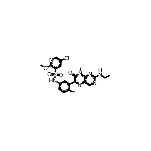 CCNc1ncc2nc(-c3cc(NS(=O)(=O)c4cc(Cl)cnc4OC)ccc3F)c(=O)n(C)c2n1